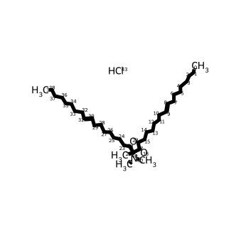 CCCCCCCCC=CCCCCCCCC(=O)C(C)(C(=O)CCCCCCCC=CCCCCCCCC)N(C)C.Cl